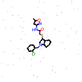 Cc1cc(NC(=O)CSc2cn(Cc3ccccc3Cl)c3ccccc23)no1